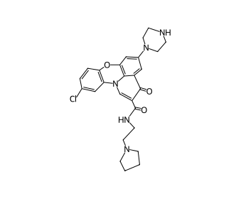 O=C(NCCN1CCCC1)c1cn2c3c(cc(N4CCNCC4)cc3c1=O)Oc1ccc(Cl)cc1-2